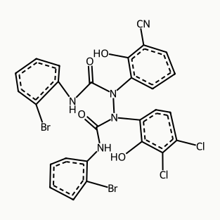 N#Cc1cccc(N(C(=O)Nc2ccccc2Br)N(C(=O)Nc2ccccc2Br)c2ccc(Cl)c(Cl)c2O)c1O